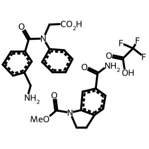 COC(=O)N1CCc2ccc(C(N)=O)cc21.NCc1cccc(C(=O)N(CC(=O)O)c2ccccc2)c1.O=C(O)C(F)(F)F